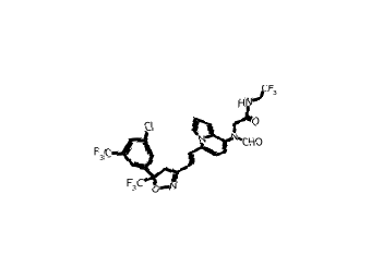 O=CN(CC(=O)NCC(F)(F)F)c1ccc(C=CC2=NOC(c3cc(Cl)cc(C(F)(F)F)c3)(C(F)(F)F)C2)n2cccc12